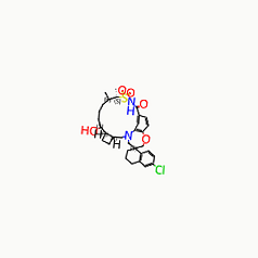 C[C@@H]1CCC[C@H](O)[C@@H]2CC[C@H]2CN2C[C@@]3(CCCc4cc(Cl)ccc43)COc3ccc(cc32)C(=O)NS(=O)(=O)[C@H]1C